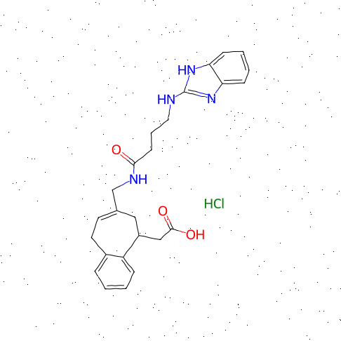 Cl.O=C(O)CC1CC(CNC(=O)CCCNc2nc3ccccc3[nH]2)=CCc2ccccc21